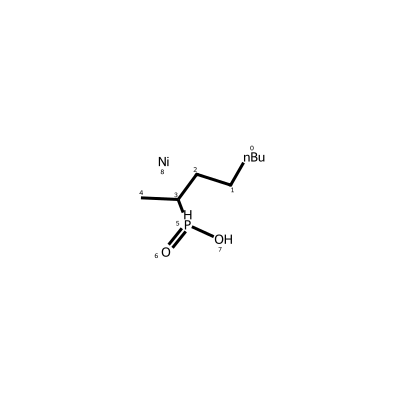 CCCCCCC(C)[PH](=O)O.[Ni]